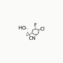 N#CC1(c2ccc(Cl)c(F)c2)C[C@@H]1CO